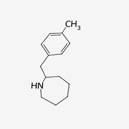 Cc1ccc(CC2CCCCCN2)cc1